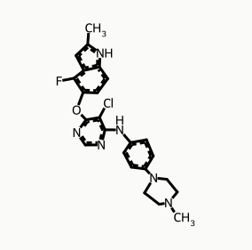 Cc1cc2c(F)c(Oc3ncnc(Nc4ccc(N5CCN(C)CC5)cc4)c3Cl)ccc2[nH]1